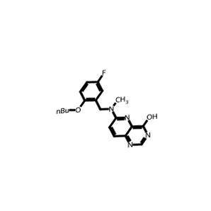 CCCCOc1ccc(F)cc1CN(C)c1ccc2ncnc(O)c2n1